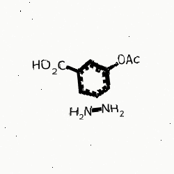 CC(=O)Oc1cccc(C(=O)O)c1.NN